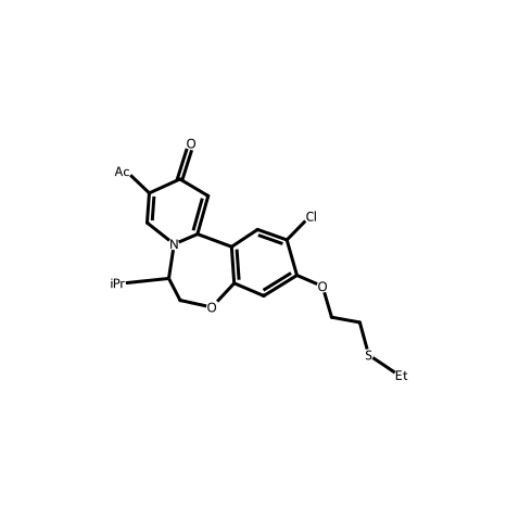 CCSCCOc1cc2c(cc1Cl)-c1cc(=O)c(C(C)=O)cn1C(C(C)C)CO2